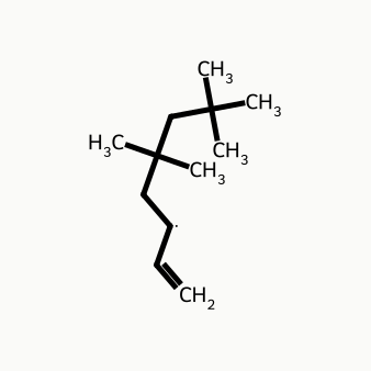 C=C[CH]CC(C)(C)CC(C)(C)C